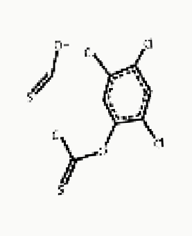 OC=S.S=C(Cl)Oc1cc(Cl)c(Cl)cc1Cl